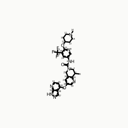 CC1CN(C(=O)Nc2cnc(OC3CCN(C)CC3)c(C(F)(F)F)c2)Cc2cc(Oc3ccnc4[nH]ncc34)cnc21